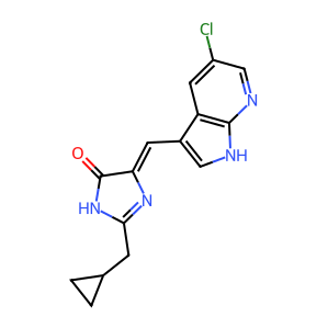 O=C1NC(CC2CC2)=N/C1=C\c1c[nH]c2ncc(Cl)cc12